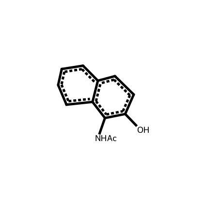 CC(=O)Nc1c(O)ccc2ccccc12